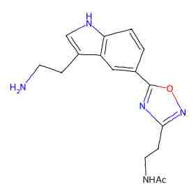 CC(=O)NCCc1noc(-c2ccc3[nH]cc(CCN)c3c2)n1